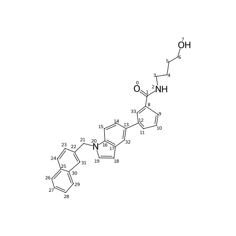 O=C(NCCCCO)c1cccc(-c2ccc3c(ccn3Cc3ccc4ccccc4c3)c2)c1